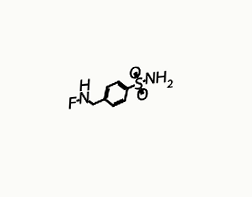 NS(=O)(=O)c1ccc(CNF)cc1